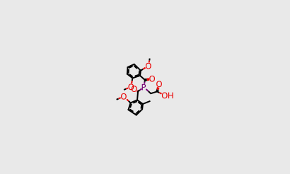 COc1cccc(C)c1C(=O)P(CC(=O)O)C(=O)c1c(OC)cccc1OC